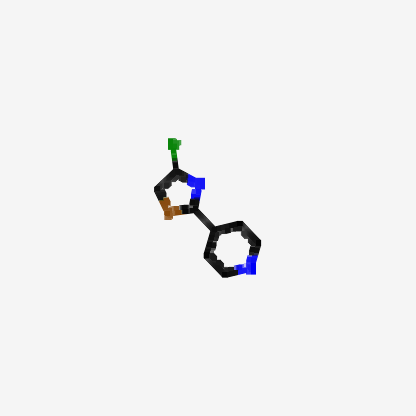 Brc1csc(-c2ccncc2)n1